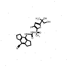 CC(O)(CO)c1cc(F)c([SH](C)(=O)NC(=O)Nc2c3c(c(C#N)c4c2CCC4)CCC3)s1